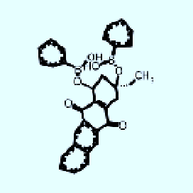 CC[C@]1(OB(O)c2ccccc2)CC2=C(C(=O)c3cc4ccccc4cc3C2=O)[C@@H](OB(O)c2ccccc2)C1